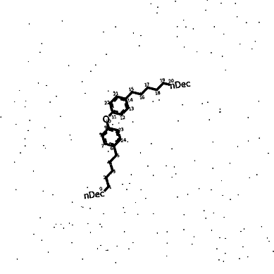 CCCCCCCCCCCCCCCc1ccc(Oc2ccc(CCCCCCCCCCCCCCC)cc2)cc1